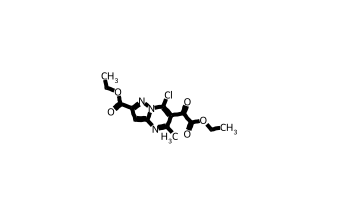 CCOC(=O)C(=O)c1c(C)nc2cc(C(=O)OCC)nn2c1Cl